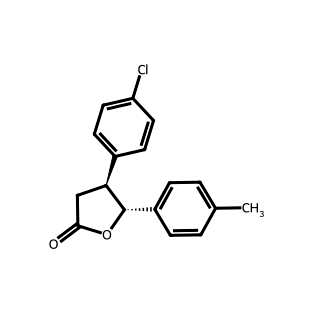 Cc1ccc([C@@H]2OC(=O)C[C@H]2c2ccc(Cl)cc2)cc1